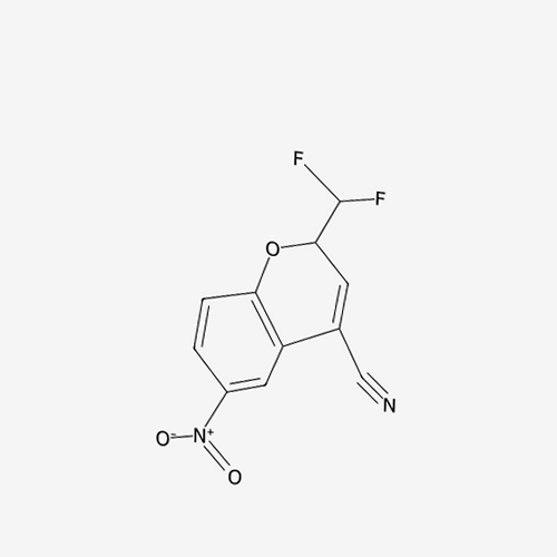 N#CC1=CC(C(F)F)Oc2ccc([N+](=O)[O-])cc21